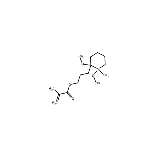 C=C(C)C(=O)OCCCC1(OCCC)CCCC[Si]1(C)OCCC